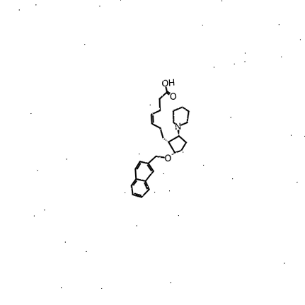 O=C(O)CC/C=C\CC[C@H]1[C@@H](OCc2ccc3ccccc3c2)CC[C@@H]1N1CCCCC1